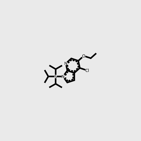 CCOc1cnc2c(ccn2S(C(C)C)(C(C)C)C(C)C)c1Cl